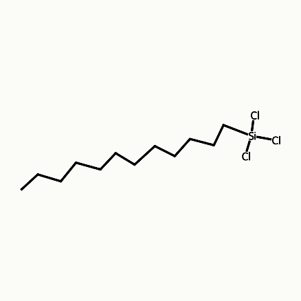 CCCCCCCCCCCC[Si](Cl)(Cl)Cl